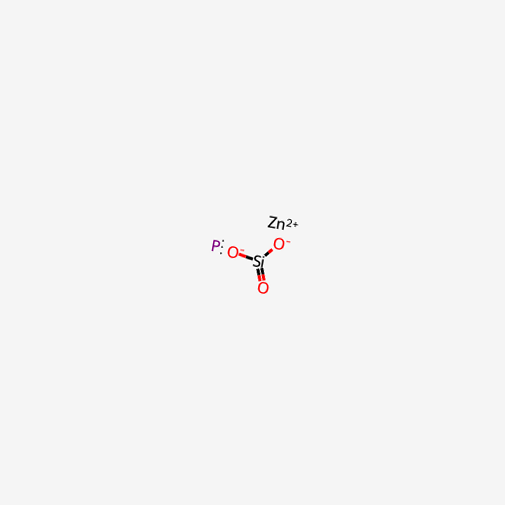 O=[Si]([O-])[O-].[P].[Zn+2]